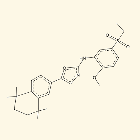 CCS(=O)(=O)c1ccc(OC)c(Nc2ncc(-c3ccc4c(c3)C(C)(C)CCC4(C)C)o2)c1